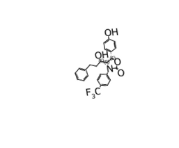 O=C1O[C@@H](c2ccc(O)cc2)[C@@H]([C@@H](O)CCc2ccccc2)N1c1ccc(C(F)(F)F)cc1